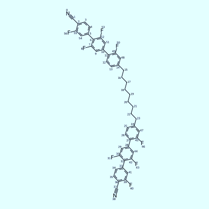 N#Cc1ccc(-c2c(F)cc(-c3ccc(CCCCCCCCCc4ccc(-c5cc(F)c(-c6ccc(C#N)c(F)c6)c(F)c5)c(F)c4)cc3F)cc2F)cc1F